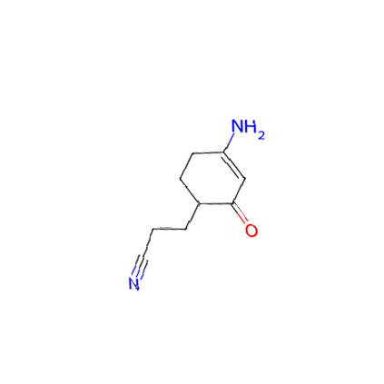 N#CCCC1CCC(N)=CC1=O